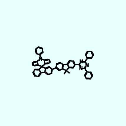 CC1(C)c2cc(-c3ccc4c(c3)C3(c5ccccc5-4)c4ccccc4N(c4ccccc4)c4ccccc43)ccc2-c2ccc(-c3nc(-c4ccccc4)nc(-c4ccccc4)n3)cc21